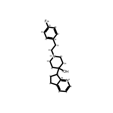 OC1(C2CCc3cccnc32)CCN(CCc2ccc(F)cc2)CC1